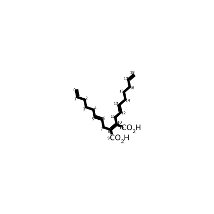 C=CCCCC=CC/C(C(=O)O)=C(\CC=CCCCC=C)C(=O)O